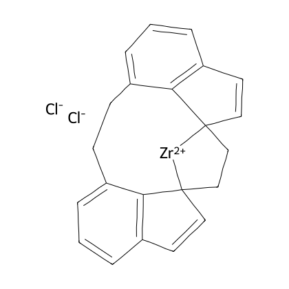 C1=C[C]23CC[C]4(C=Cc5cccc(c54)CCc4cccc1c42)[Zr+2]3.[Cl-].[Cl-]